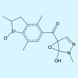 Cc1cc(C(=O)C23C=NN(C)C2(O)O3)c(C)c2c1[S+]([O-])C(C)C2